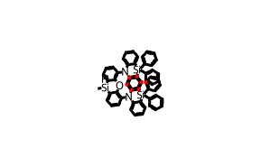 C[SiH]1c2cccc(N3c4ccccc4[Si](c4ccccc4)(c4ccccc4)c4ccccc43)c2Oc2c(N3c4ccccc4[Si](c4ccccc4)(c4ccccc4)c4ccccc43)cccc21